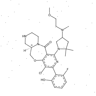 COCCN(C)C1CN(c2nc(-c3c(O)cccc3F)c(Cl)c3c2C(=O)N2CCNC[C@@H]2CO3)C(C)(C)C1